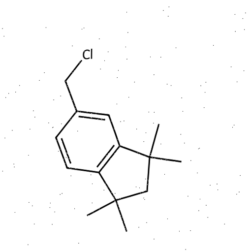 CC1(C)CC(C)(C)c2cc(CCl)ccc21